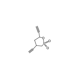 C#CC1CC(C#C)OS(=O)(=O)C1